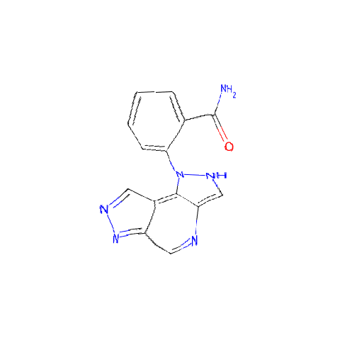 NC(=O)c1ccccc1-n1[nH]cc2ncc3nncc3c21